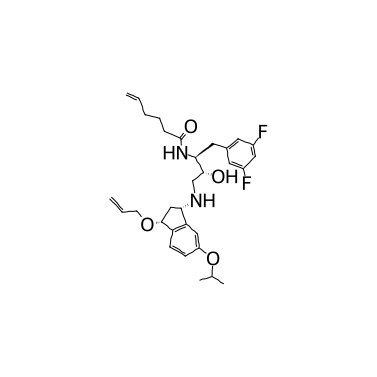 C=CCCCC(=O)N[C@@H](Cc1cc(F)cc(F)c1)[C@H](O)CN[C@H]1C[C@@H](OCC=C)c2ccc(OC(C)C)cc21